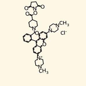 CN1CCN(c2ccc3c(-c4ccccc4C(=O)N4CCC(C(=O)ON5C(=O)CCC5=O)CC4)c4ccc(=[N+]5CCN(C)CC5)cc-4oc3c2)CC1.[Cl-]